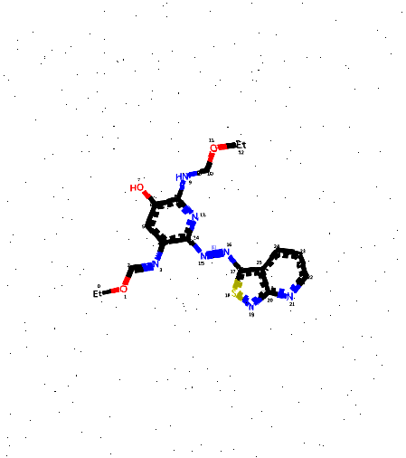 CCOC=Nc1cc(O)c(NCOCC)nc1/N=N/c1snc2ncccc12